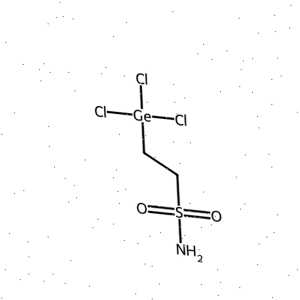 NS(=O)(=O)C[CH2][Ge]([Cl])([Cl])[Cl]